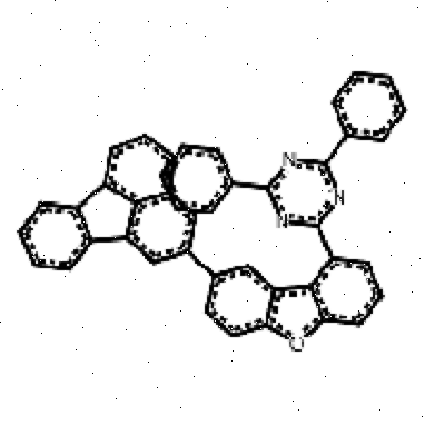 c1ccc(-c2nc(-c3ccccc3)nc(-c3cccc4oc5ccc(-c6cc7c8c(cccc8c6)-c6ccccc6-7)cc5c34)n2)cc1